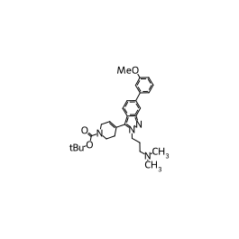 COc1cccc(-c2ccc3c(C4=CCN(C(=O)OC(C)(C)C)CC4)n(CCCN(C)C)nc3c2)c1